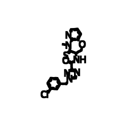 CN1C(=S)C(NC(=O)c2ncn(Cc3cccc(Cl)c3)n2)COc2cccnc21